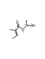 CC=C(C)C(=O)ON(C)CCC